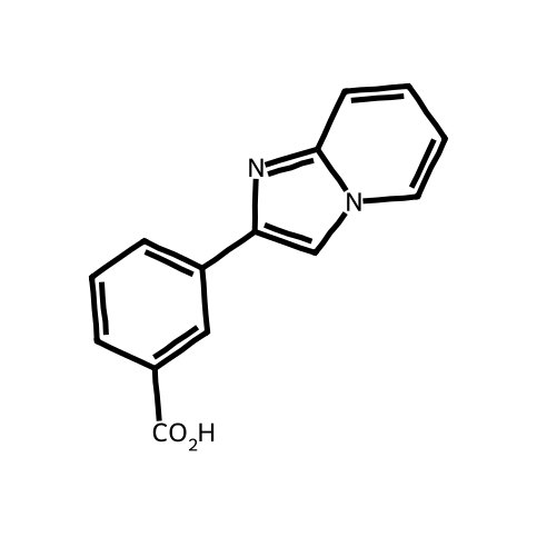 O=C(O)c1cccc(-c2cn3ccccc3n2)c1